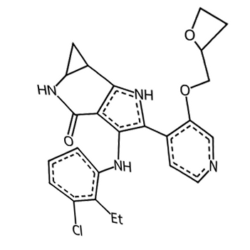 CCc1c(Cl)cccc1Nc1c(-c2ccncc2OCC2CCO2)[nH]c2c1C(=O)NC1CC21